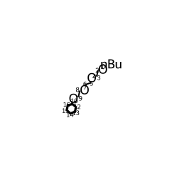 CCCCOCCOCCOCCOc1ccccc1